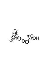 COc1ccc(C(C)C(F)(F)F)c(N2CCC(COc3cccc(C(CC(=O)O)C4CC4)c3)CC2)c1